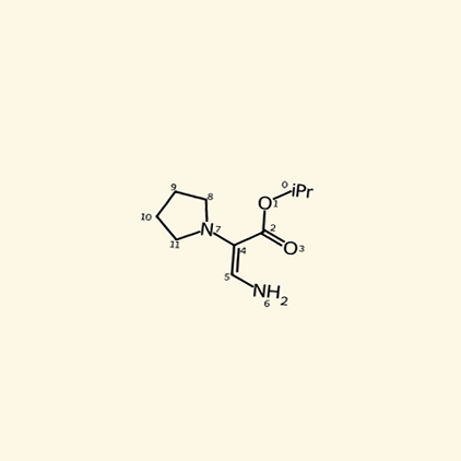 CC(C)OC(=O)C(=CN)N1CCCC1